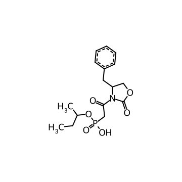 CCC(C)OP(=O)(O)CC(=O)N1C(=O)OCC1Cc1ccccc1